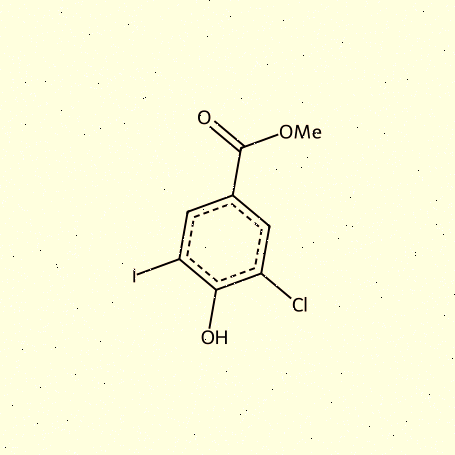 COC(=O)c1cc(Cl)c(O)c(I)c1